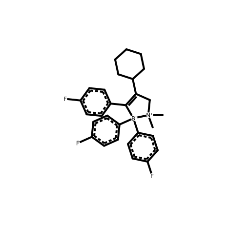 C[N+]1(C)CC(C2CCCCC2)=C(c2ccc(F)cc2)[B-]1(c1ccc(F)cc1)c1ccc(F)cc1